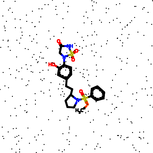 CP=S(=O)(c1ccccc1)N1CCCC1CCc1ccc(N2CC(=O)NS2(=O)=O)c(O)c1